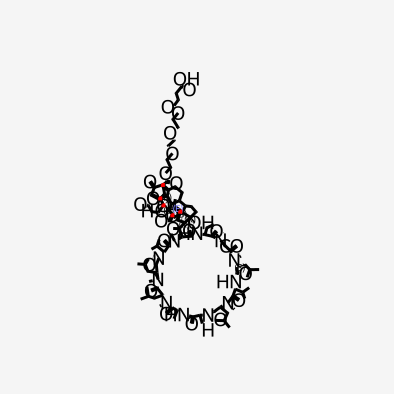 C/C=C/C[C@](C)(C(OC(=O)OC(CC=O)OC(=O)CCC(=O)OCCOCCOCCOC(=O)CCC(=O)O)C1C(=O)NC(CC)C(=O)N(C)CC(=O)N(C)[C@@H](CC(C)C)C(=O)NC(C(C)C)C(=O)N(C)C(CC(C)C)C(=O)NC(C)C(=O)NC(C)C(=O)N(C)C(CC(C)C)C(=O)N(C)C(CC(C)C)C(=O)N(C)C(C(C)C)C(=O)N1C)[C@@]1(O)CCC2C3CCC4=CC(=O)C=C[C@]4(C)C3[C@@H](O)C[C@@]21C